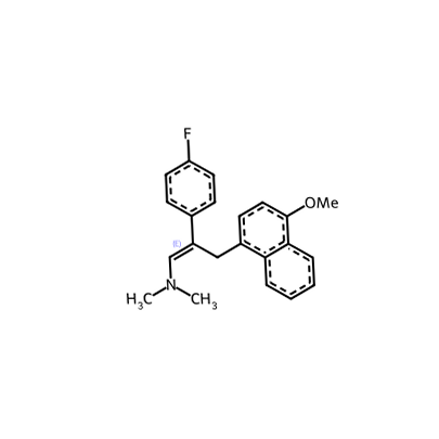 COc1ccc(C/C(=C\N(C)C)c2ccc(F)cc2)c2ccccc12